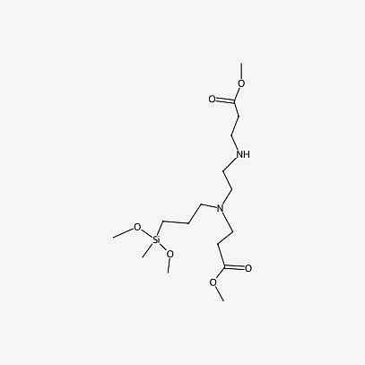 COC(=O)CCNCCN(CCC[Si](C)(OC)OC)CCC(=O)OC